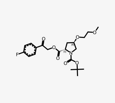 COCCO[C@@H]1C[C@@H](C(=O)OCC(=O)c2ccc(F)cc2)N(C(=O)OC(C)(C)C)C1